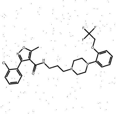 Cc1onc(-c2ccccc2Cl)c1C(=O)NCCCN1CCN(c2ccccc2OCC(F)(F)F)CC1